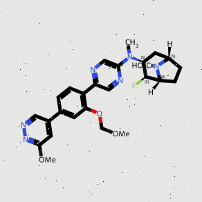 COCOc1cc(-c2cnnc(OC)c2)ccc1-c1cnc(N(C)[C@H]2C[C@@H]3CC[C@H]([C@H]2F)N3C(=O)O)cn1